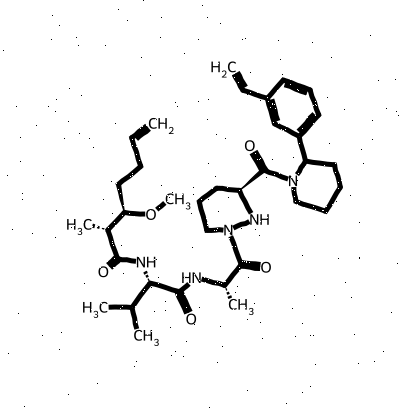 C=CCC[C@@H](OC)[C@@H](C)C(=O)N[C@H](C(=O)N[C@@H](C)C(=O)N1CCC[C@@H](C(=O)N2CCCCC2c2cccc(C=C)c2)N1)C(C)C